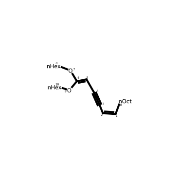 CCCCCCCC/C=C\C#CC=C(OCCCCCC)OCCCCCC